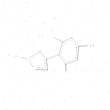 CCOC(=O)c1cc(N)cc(F)c1-c1cnn(C(C)(C)C)c1